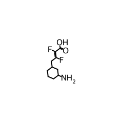 NC1CCCC(C/C(F)=C(\F)C(=O)O)C1